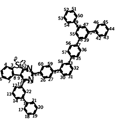 C[Si]1(C)c2ccccc2-c2c(-c3cccc(-c4ccccc4)c3)nc(-c3ccc(-c4cccc(-c5ccc(-c6cc(-c7ccccc7)cc(-c7ccccc7)c6)cc5)c4)cc3)nc21